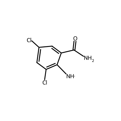 [NH]c1c(Cl)cc(Cl)cc1C(N)=O